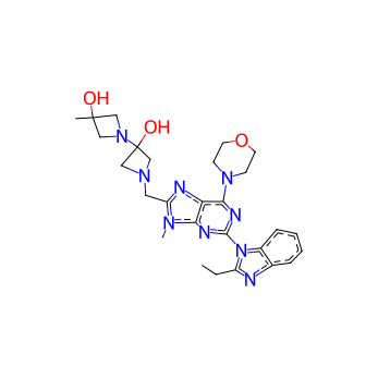 CCc1nc2ccccc2n1-c1nc(N2CCOCC2)c2nc(CN3CC(O)(N4CC(C)(O)C4)C3)n(C)c2n1